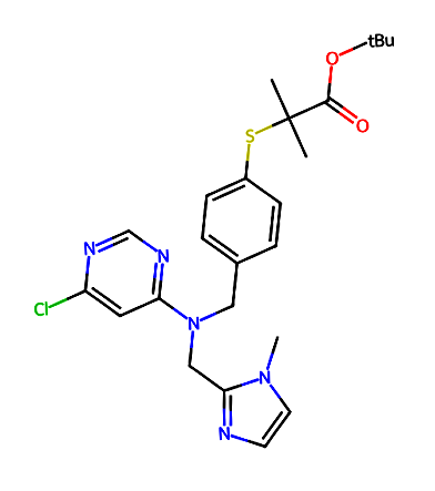 Cn1ccnc1CN(Cc1ccc(SC(C)(C)C(=O)OC(C)(C)C)cc1)c1cc(Cl)ncn1